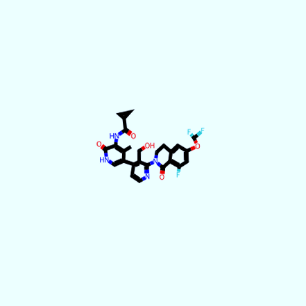 Cc1c(-c2ccnc(N3CCc4cc(OC(F)F)cc(F)c4C3=O)c2CO)c[nH]c(=O)c1NC(=O)C1CC1